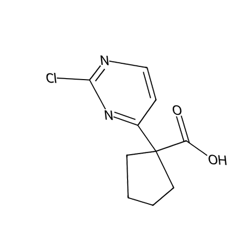 O=C(O)C1(c2ccnc(Cl)n2)CCCC1